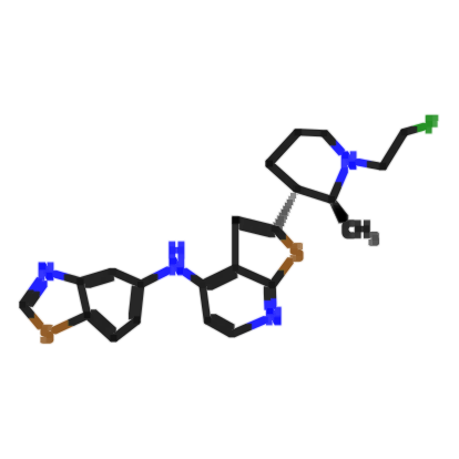 C[C@H]1[C@H](c2cc3c(Nc4ccc5scnc5c4)ccnc3s2)CCCN1CCF